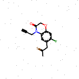 C#CCN1C(=O)COc2cc(F)c(CC([CH2])=S)cc21